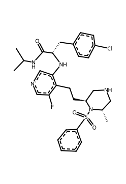 CC(C)NC(=O)[C@H](Cc1ccc(Cl)cc1)Nc1cncc(F)c1CC[C@H]1CNC[C@H](C)N1S(=O)(=O)c1ccccc1